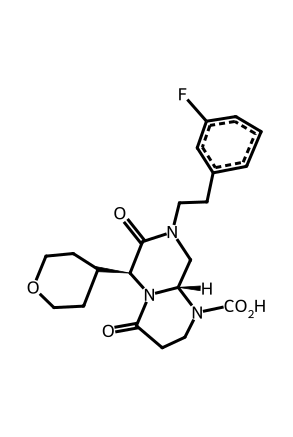 O=C1[C@H](C2CCOCC2)N2C(=O)CCN(C(=O)O)[C@H]2CN1CCc1cccc(F)c1